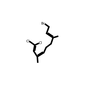 CC(C=C(Cl)Cl)=CCCC(C)=CCBr